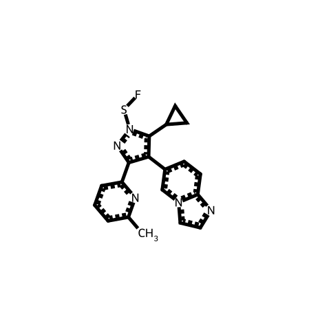 Cc1cccc(-c2nn(SF)c(C3CC3)c2-c2ccc3nccn3c2)n1